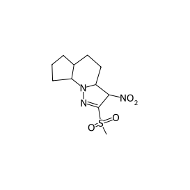 CS(=O)(=O)C1=NN2C3CCCC3CCC2C1[N+](=O)[O-]